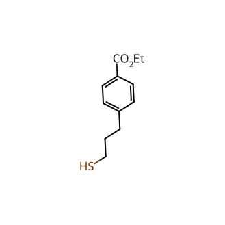 CCOC(=O)c1ccc(CCCS)cc1